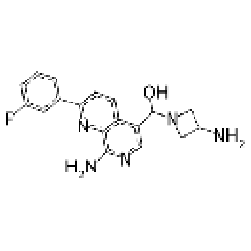 Nc1ncc(C(O)N2CC(N)C2)c2ccc(-c3cccc(F)c3)nc12